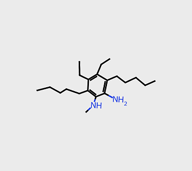 CCCCCc1c(N)c(NC)c(CCCCC)c(CC)c1CC